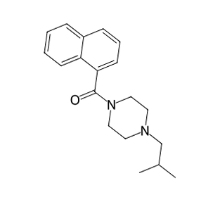 CC(C)CN1CCN(C(=O)c2cccc3ccccc23)CC1